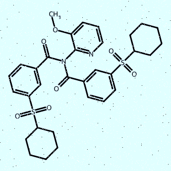 COc1cccnc1N(C(=O)c1cccc(S(=O)(=O)C2CCCCC2)c1)C(=O)c1cccc(S(=O)(=O)C2CCCCC2)c1